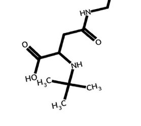 CCNC(=O)CC(NC(C)(C)C)C(=O)O